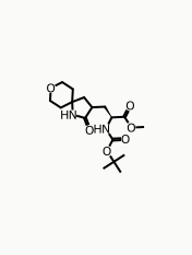 COC(=O)[C@H](CC1CC2(CCOCC2)NC1=O)NC(=O)OC(C)(C)C